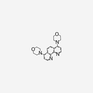 c1cc(N2CCOCC2)c2ccc3c(N4CCOCC4)ccnc3c2n1